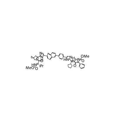 COC(=O)N[C@H](C(=O)N1CC2(CC2)C[C@H]1c1ncc(-c2ccc3cc(-c4ccc(-c5cnc([C@@H](NC(=O)[C@H](NC(=O)OC)c6ccccc6)C6CCCC6)[nH]5)cc4)ccc3c2)[nH]1)C(C)C